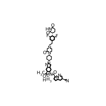 CC(C)(O)c1cc2nn(C3CCC(N4CCN(CCc5cc(F)c([C@H]6CCC(=O)NC6=O)c(F)c5)CC4=O)CC3)cc2cc1NC(=O)c1ccc2cc(C#N)cnn12